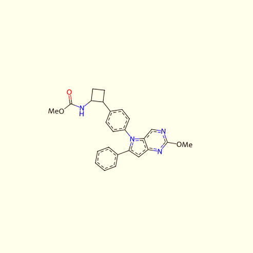 COC(=O)NC1CCC1c1ccc(-n2c(-c3ccccc3)cc3nc(OC)ncc32)cc1